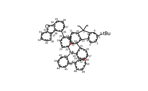 CC(C)(C)c1ccc2c(c1)C(C)(C)c1cccc(-c3ccccc3N(c3ccc(-c4cccc5oc6ccccc6c45)cc3)c3ccccc3-c3ccccc3)c1-2